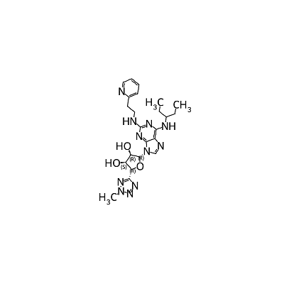 CCC(CC)Nc1nc(NCCc2ccccn2)nc2c1ncn2[C@@H]1O[C@H](c2nnn(C)n2)[C@@H](O)[C@H]1O